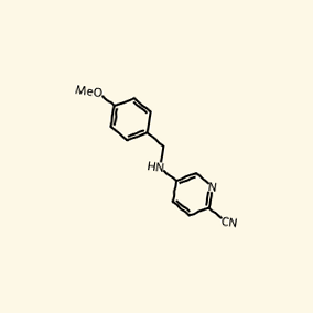 COc1ccc(CNc2ccc(C#N)nc2)cc1